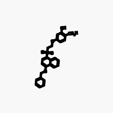 O=C(O)c1ccc(OCCS(=O)(=O)c2ccc(OCc3ccccc3)c3ccccc23)cc1O